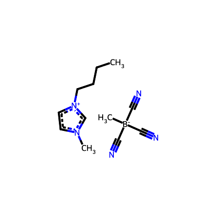 CCCC[n+]1ccn(C)c1.C[B-](C#N)(C#N)C#N